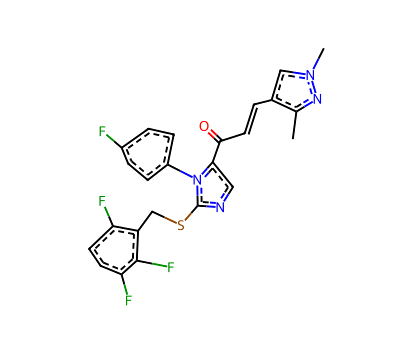 Cc1nn(C)cc1/C=C/C(=O)c1cnc(SCc2c(F)ccc(F)c2F)n1-c1ccc(F)cc1